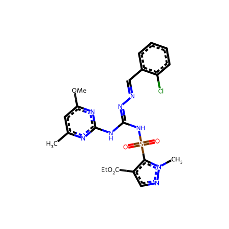 CCOC(=O)c1cnn(C)c1S(=O)(=O)NC(=NN=Cc1ccccc1Cl)Nc1nc(C)cc(OC)n1